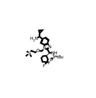 CC(C)(C)[S@@+]([O-])NC(c1nc2ccc(C(N)C3CC3)cc2n1COCC[Si](C)(C)C)[C@@H]1CCCC(F)(F)C1